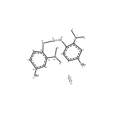 CN(C)c1cc(C(C)(C)C)ccc1[O][Zr+2][O]c1ccc(C(C)(C)C)cc1N(C)C.[Cl-].[Cl-]